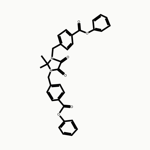 CC1(C)N(Cc2ccc(C(=O)Oc3ccccc3)cc2)C(=O)C(=O)N1Cc1ccc(C(=O)Oc2ccccc2)cc1